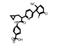 N#Cc1ccc(Cl)c(F)c1-c1ccc(C(CC2CC2)C(=O)Nc2ccc(C3(O)OO3)cc2)nc1